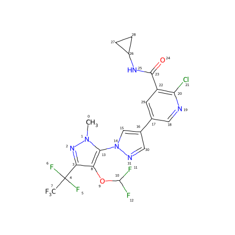 Cn1nc(C(F)(F)C(F)(F)F)c(OC(F)F)c1-n1cc(-c2cnc(Cl)c(C(=O)NC3CC3)c2)cn1